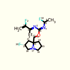 C=C(F)/C(CC)=N/C(=N\C(C)F)OCC12CCCN1C[C@H](F)C2